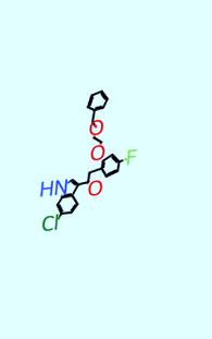 O=C(Cc1ccc(F)cc1OCCOCc1ccccc1)c1c[nH]c2cc(Cl)ccc12